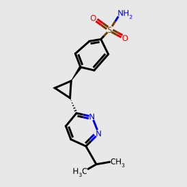 CC(C)c1ccc([C@@H]2C[C@H]2c2ccc(S(N)(=O)=O)cc2)nn1